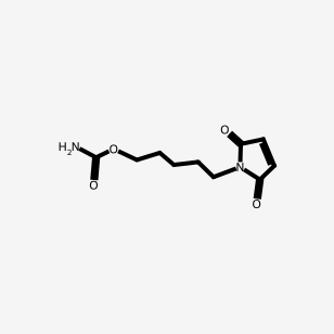 NC(=O)OCCCCCN1C(=O)C=CC1=O